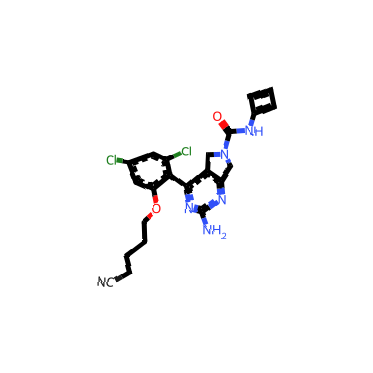 N#CCCCCOc1cc(Cl)cc(Cl)c1-c1nc(N)nc2c1CN(C(=O)NC1=CC=C1)C2